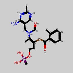 C=P(O)(O)OCC/C(SC(=O)c1ccccc1C)=C(\C)N(C=O)Cc1cnc(C)nc1N